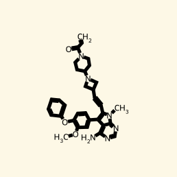 C=CC(=O)N1CCC(N2CC(C#Cc3c(-c4ccc(Oc5ccccc5)c(OC)c4)c4c(N)ncnc4n3C)C2)CC1